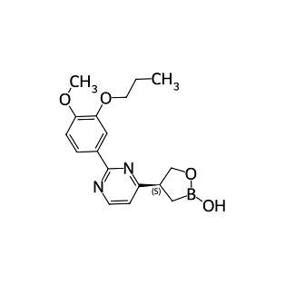 CCCOc1cc(-c2nccc([C@H]3COB(O)C3)n2)ccc1OC